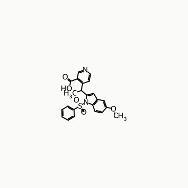 COc1ccc2c(c1)cc(C(C)c1ccncc1C(=O)O)n2S(=O)(=O)c1ccccc1